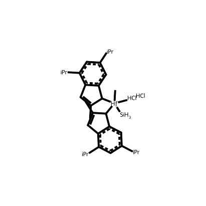 CC1=Cc2c(C(C)C)cc(C(C)C)cc2[CH]1[Hf]([CH3])([CH3])([SiH3])[CH]1C(C)=Cc2c(C(C)C)cc(C(C)C)cc21.Cl.Cl